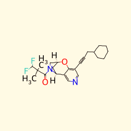 CC(C)(C(=O)N1C[C@@H]2C[C@H]1c1cncc(C#CCC3CCCCC3)c1O2)C(F)F